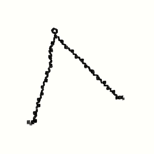 COCCOCCOCCOCCOCCOCCOCCOCCOCCOCCOCCOCCN(CCOCCOCCOCCOCCOCCOCCOCCOCCOCCOCCOCCOC)c1ccccc1